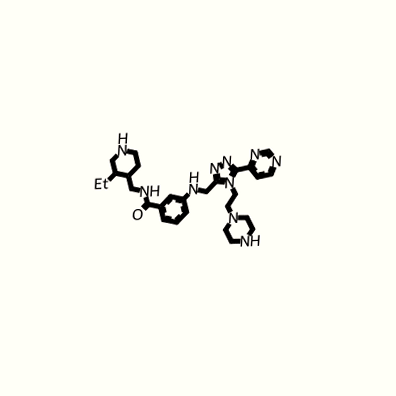 CCC1CNCCC1CNC(=O)c1cccc(NCc2nnc(-c3ccncn3)n2CCN2CCNCC2)c1